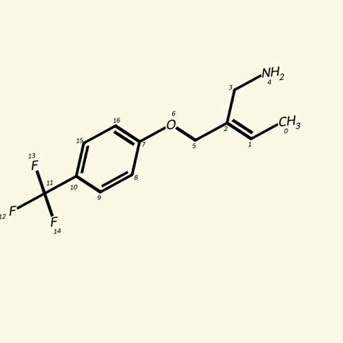 C/C=C(\CN)COc1ccc(C(F)(F)F)cc1